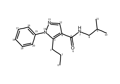 CCCc1c(C(=O)NCC(C)C)cnn1-c1ccccc1